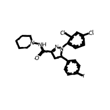 O=C(NN1CCCCC1)C1=NN(c2ccc(Cl)cc2Cl)C(c2ccc(I)cc2)C1